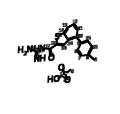 CS(=O)(=O)O.Cc1ccc(-c2cccc3sc(C(=O)NC(=N)N)cc23)cc1